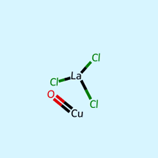 [Cl][La]([Cl])[Cl].[O]=[Cu]